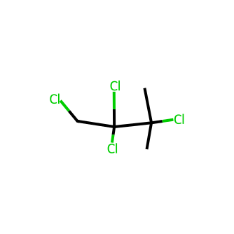 CC(C)(Cl)C(Cl)(Cl)CCl